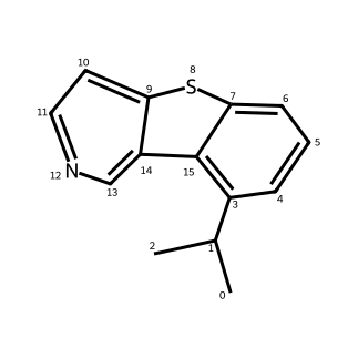 CC(C)c1cccc2sc3ccncc3c12